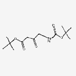 CC(C)(C)OC(=O)CC(=O)CNC(=O)OC(C)(C)C